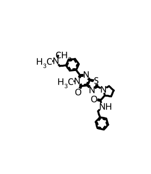 CN(C)Cc1cccc(-c2nc3sc(N4CCCC4C(=O)NCc4ccccc4)nc3c(=O)n2C)c1